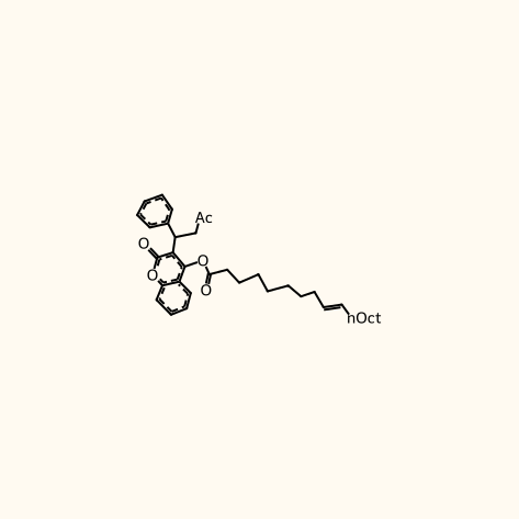 CCCCCCCC/C=C/CCCCCCCC(=O)Oc1c(C(CC(C)=O)c2ccccc2)c(=O)oc2ccccc12